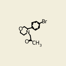 CC(=O)CN1CCOCC1c1ccc(Br)cc1